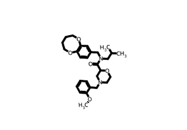 COc1ccccc1CN1CCOC(C(=O)N(Cc2ccc3c(c2)OCCCCO3)CC(C)C)C1